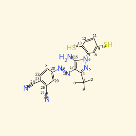 CC(C)(C)c1nn(-c2cc(S)ccc2S)c(N)c1N=Nc1ccc(C#N)c(C#N)c1